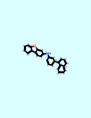 c1cc(Nc2ccc3c(c2)oc2ccccc23)cc(-c2cccc3ccccc23)c1